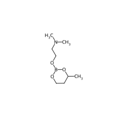 CC1CCOB(OCCN(C)C)O1